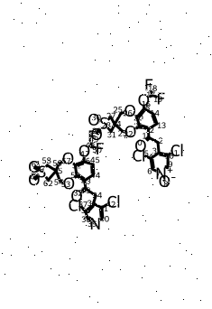 O=C(Cc1c(Cl)c[n+]([O-])cc1Cl)c1ccc(OC(F)F)c2c1OCC1(CO2)CS(=O)(=O)C1.O=C(Cc1c(Cl)cncc1Cl)c1ccc(OC(F)F)c2c1OCC1(CO2)CS(=O)(=O)C1